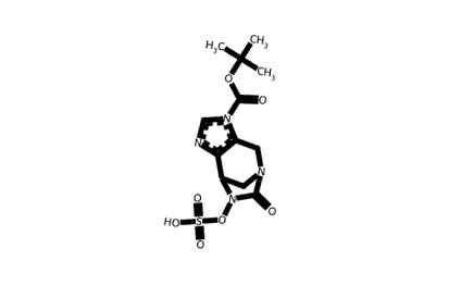 CC(C)(C)OC(=O)n1cnc2c1CN1CC2N(OS(=O)(=O)O)C1=O